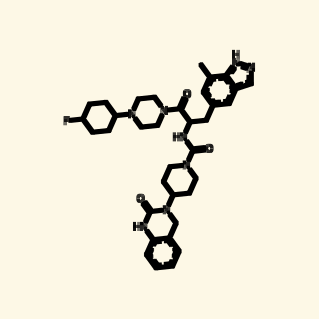 Cc1cc(CC(NC(=O)N2CCC(N3Cc4ccccc4NC3=O)CC2)C(=O)N2CCN(C3CCC(F)CC3)CC2)cc2cn[nH]c12